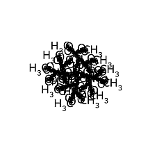 COC(=O)CCN(CCC(=O)OC)CCC(CCN(CCC(=O)OC)CCC(=O)OC)CC(O)COCC(COCC(O)CN(CCN(CCC(=O)OC)CCC(=O)OC)CCN(CCC(=O)OC)CCC(=O)OC)(COCC(O)CN(CCN(CCC(=O)OC)CCC(=O)OC)CCN(CCC(=O)OC)CCC(=O)OC)COCC(O)CN(CCN(CCC(=O)OC)CCC(=O)OC)CCN(CCC(=O)OC)CCC(=O)OC